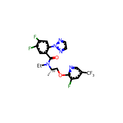 CCN(C(=O)c1cc(F)c(F)cc1-n1nccn1)[C@@H](C)COc1ncc(C(F)(F)F)cc1F